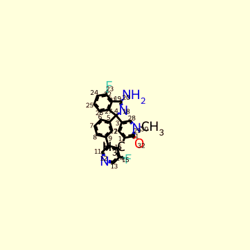 Cc1cc(C2(c3cccc(-c4cncc(F)c4)c3)N=C(N)c3c(F)cccc32)cn(C)c1=O